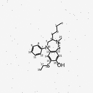 CCCCC1CN(c2ccccc2)c2cc(SCC)c(O)cc2SN1C